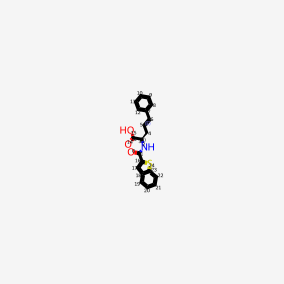 O=C(N[C@H](C/C=C/c1ccccc1)C(=O)O)c1cc2ccccc2s1